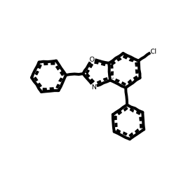 Clc1cc(-c2ccccc2)c2nc(-c3ccccc3)oc2c1